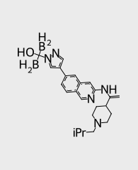 BC(B)(O)n1cc(-c2ccc3cnc(NC(=C)C4CCN(CC(C)C)CC4)cc3c2)cn1